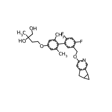 Cc1cc(OCCC(C)(O)CO)cc(C)c1-c1cc(COc2cc3c(cn2)C2CC2C3)c(F)cc1F